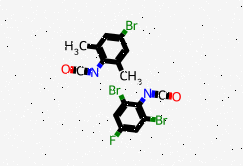 Cc1cc(Br)cc(C)c1N=C=O.O=C=Nc1c(Br)cc(F)cc1Br